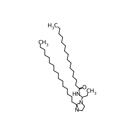 CCCCCCCCCCCCCCCCC1=NCCN1C(CC)NC(=O)CCCCCCCCCCCCCCC